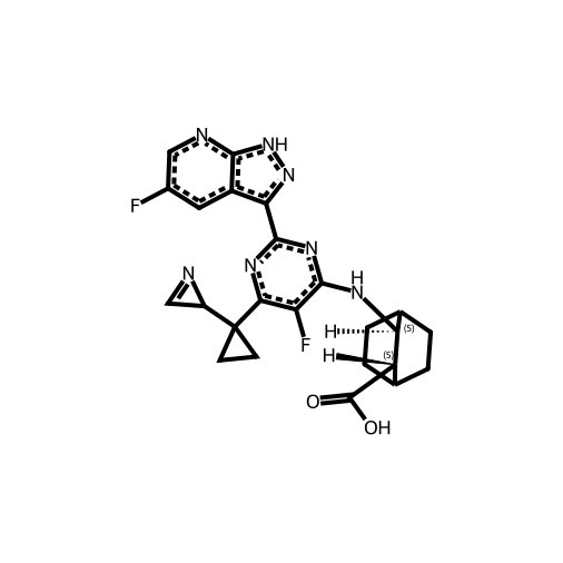 O=C(O)[C@H]1C2CCC(CC2)[C@@H]1Nc1nc(-c2n[nH]c3ncc(F)cc23)nc(C2(C3C=N3)CC2)c1F